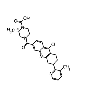 Cc1cccnc1C1CCc2c(nc3cc(C(=O)N4CCN(C(=O)O)[C@@H](C)C4)ccc3c2Cl)C1